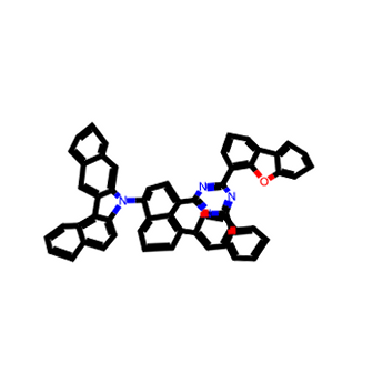 c1ccc(-c2nc(-c3cccc4c3oc3ccccc34)nc(-c3ccc(-n4c5cc6ccccc6cc5c5c6ccccc6ccc54)c4cccc(-c5ccccc5)c34)n2)cc1